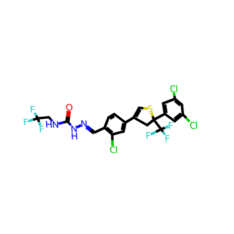 O=C(NCC(F)(F)F)NN=Cc1ccc(C2=CSC(c3cc(Cl)cc(Cl)c3)(C(F)(F)F)C2)cc1Cl